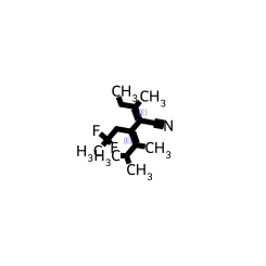 CC/C(C)=C(C#N)\C(CC(C)(F)F)=C(/C)C(C)C